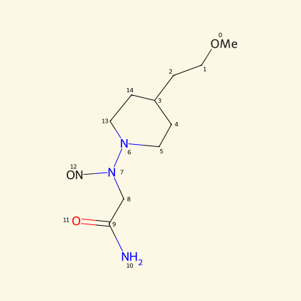 COCCC1CCN(N(CC(N)=O)N=O)CC1